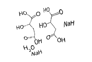 O.O=C(O)CC(O)C(=O)O.O=C(O)CC(O)C(=O)O.[NaH].[NaH]